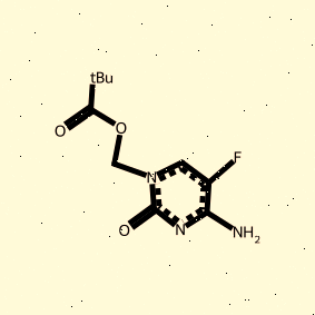 CC(C)(C)C(=O)OCn1cc(F)c(N)nc1=O